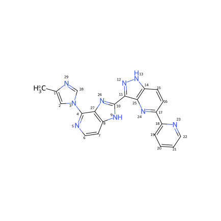 Cc1cn(-c2nccc3[nH]c(-c4n[nH]c5ccc(-c6ccccn6)nc45)nc23)cn1